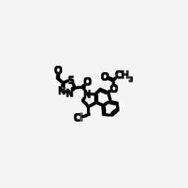 CC(=O)Oc1cc2c(c3ccccc13)C(CCl)CN2C(=O)c1nnc(C=O)s1